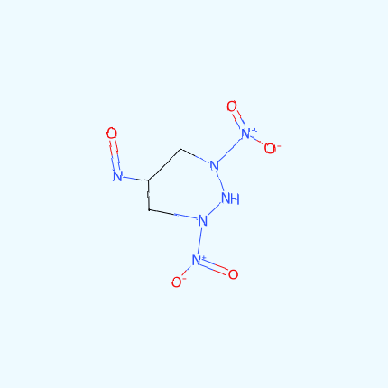 O=NC1CN([N+](=O)[O-])NN([N+](=O)[O-])C1